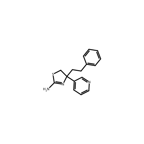 NC1=NC(CCc2ccccc2)(c2cccnc2)CS1